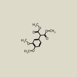 COC(=O)C(C(=O)OC)c1ccc(OC)c(OC)c1